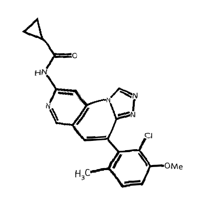 COc1ccc(C)c(-c2cc3cnc(NC(=O)C4CC4)cc3n3cnnc23)c1Cl